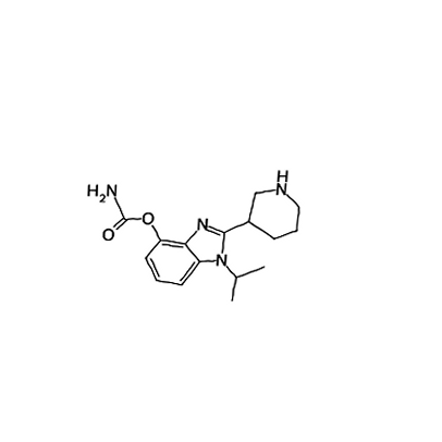 CC(C)n1c(C2CCCNC2)nc2c(OC(N)=O)cccc21